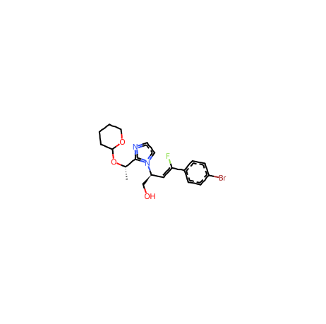 C[C@H](OC1CCCCO1)c1nccn1[C@@H](/C=C(\F)c1ccc(Br)cc1)CO